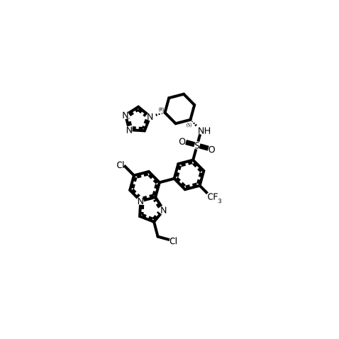 O=S(=O)(N[C@H]1CCC[C@@H](n2cnnc2)C1)c1cc(-c2cc(Cl)cn3cc(CCl)nc23)cc(C(F)(F)F)c1